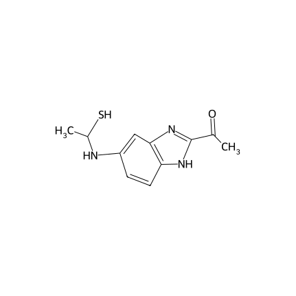 CC(=O)c1nc2cc(NC(C)S)ccc2[nH]1